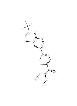 CCN(CC)C(=O)c1ccc(-c2ccc3cc(C(C)(C)C)ccc3c2)cc1